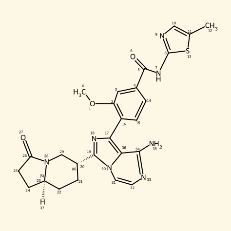 COc1cc(C(=O)Nc2ncc(C)s2)ccc1-c1nc([C@@H]2CC[C@H]3CCC(=O)N3C2)n2ccnc(N)c12